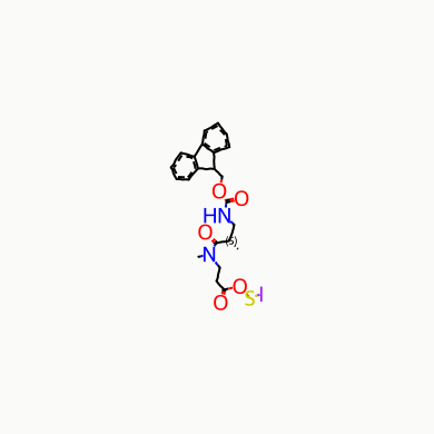 C[C@@H](CNC(=O)OCC1c2ccccc2-c2ccccc21)C(=O)N(C)CCC(=O)OSI